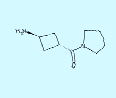 N[C@H]1C[C@H](C(=O)N2CCCC2)C1